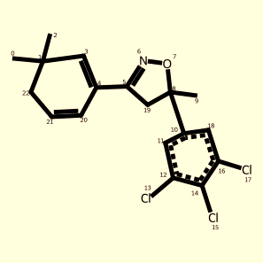 CC1(C)C=C(C2=NOC(C)(c3cc(Cl)c(Cl)c(Cl)c3)C2)C=CC1